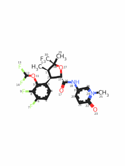 C[C@@H]1[C@H](c2ccc(F)c(F)c2OC(F)F)[C@@H](C(=O)Nc2ccc(=O)n(C)c2)O[C@]1(C)C(F)(F)F